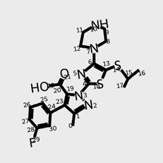 Cc1nn(-c2nc(N3CCNCC3)c(SC(C)C)s2)c(C(=O)O)c1-c1cccc(F)c1